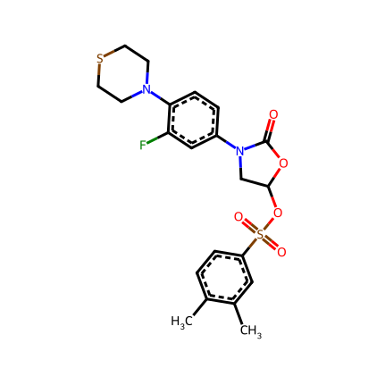 Cc1ccc(S(=O)(=O)OC2CN(c3ccc(N4CCSCC4)c(F)c3)C(=O)O2)cc1C